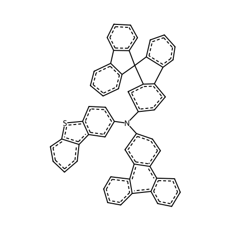 c1ccc2c(c1)-c1ccccc1C21c2ccccc2-c2ccc(N(c3ccc4sc5ccccc5c4c3)c3ccc4c5ccccc5c5ccccc5c4c3)cc21